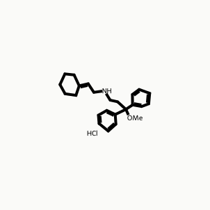 COC(CCNCC=C1CCCCC1)(c1ccccc1)c1ccccc1.Cl